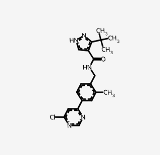 Cc1cc(-c2cc(Cl)ncn2)ccc1CNC(=O)c1c[nH]nc1C(C)(C)C